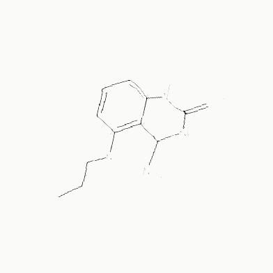 CCCNc1cccc2c1C(N)NC(=O)N2